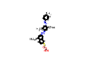 COc1cc(N=Nc2cc(S(=O)(=O)O)c3ccc(SOOO)cc3c2)c(C)cc1N=Nc1ccc(C)cc1